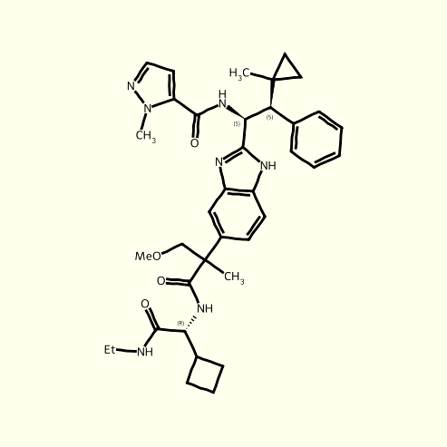 CCNC(=O)[C@H](NC(=O)C(C)(COC)c1ccc2[nH]c([C@@H](NC(=O)c3ccnn3C)[C@H](c3ccccc3)C3(C)CC3)nc2c1)C1CCC1